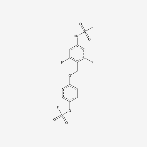 CS(=O)(=O)Nc1cc(F)c(COc2ccc(OS(=O)(=O)F)cc2)c(F)c1